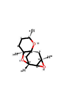 CC[C@H]1CC[C@@H]2O[C@@H]3C[C@]2(C[C@H]2OC23)O1